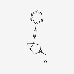 O=CN1CC2CC2(C#Cc2ccccn2)C1